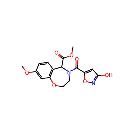 COC(=O)C1c2ccc(OC)cc2OCCN1C(=O)c1cc(O)no1